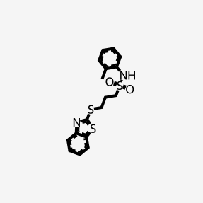 Cc1ccccc1NS(=O)(=O)CCCSc1nc2ccccc2s1